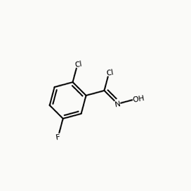 ON=C(Cl)c1cc(F)ccc1Cl